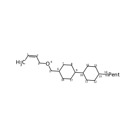 C/C=C\COCC1CCC(C2CCC(CCCCC)CC2)CC1